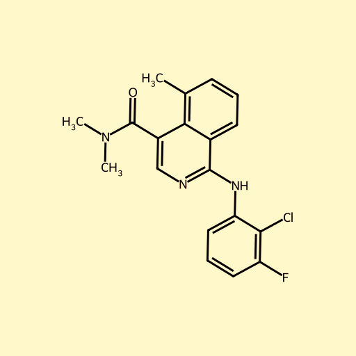 Cc1cccc2c(Nc3cccc(F)c3Cl)ncc(C(=O)N(C)C)c12